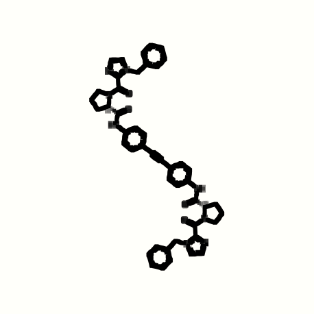 O=C(Nc1ccc(C#Cc2ccc(NC(=O)[C@@H]3CCCN3C(=O)c3nccn3Cc3ccccc3)cc2)cc1)[C@@H]1CCCN1C(=O)c1nccn1Cc1ccccc1